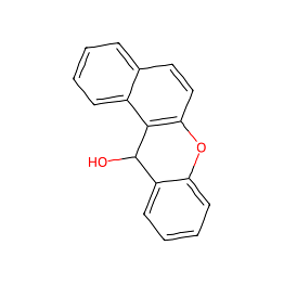 OC1c2ccccc2Oc2ccc3ccccc3c21